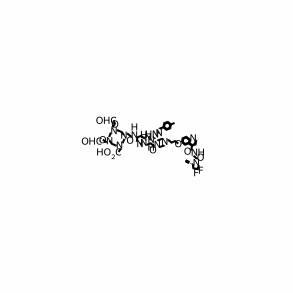 C#C[C@H]1CC(F)(F)CN1C(=O)CNC(=O)c1ccnc2ccc(OCCCN3CCN(C(=O)CCN/N=C\C(C/C=N/NCN/N=C/c4ccc(C)cc4)NC(=O)CN4CCN(COC=O)CCN(COC=O)CCN(CC(=O)O)CC4)CC3)cc12